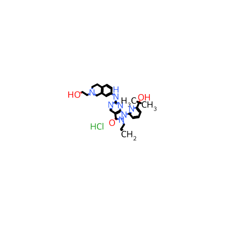 C=CCn1c(=O)c2cnc(Nc3ccc4c(c3)CN(CCO)CC4)nc2n1-c1cccc(C(C)(C)O)n1.Cl